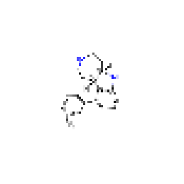 FC(F)(F)c1cccc(-c2cccc3c2[C@@H]2CCNCC[C@@H]2N3)c1